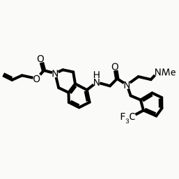 C=CCOC(=O)N1CCc2c(cccc2NCC(=O)N(CCNC)Cc2ccccc2C(F)(F)F)C1